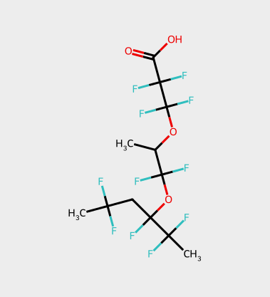 CC(OC(F)(F)C(F)(F)C(=O)O)C(F)(F)OC(F)(CC(C)(F)F)C(C)(F)F